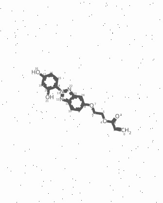 C=CC(=O)OCCOc1ccc2nn(-c3ccc(O)cc3O)nc2c1